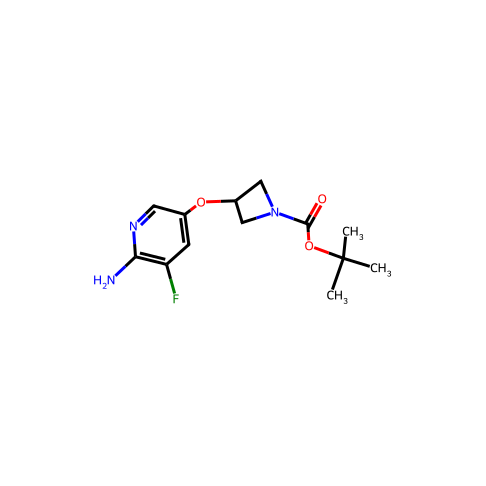 CC(C)(C)OC(=O)N1CC(Oc2cnc(N)c(F)c2)C1